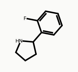 Fc1ccccc1C1CCCN1